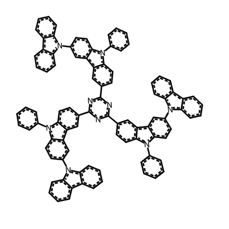 c1ccc(-n2c3ccc(-c4nc(-c5ccc6c(c5)c5cc(-n7c8ccccc8c8ccccc87)ccc5n6-c5ccccc5)nc(-c5ccc6c(c5)c5cc(-n7c8ccccc8c8ccccc87)ccc5n6-c5ccccc5)n4)cc3c3cc(-n4c5ccccc5c5ccccc54)ccc32)cc1